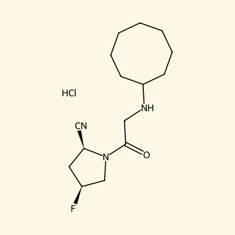 Cl.N#C[C@@H]1C[C@H](F)CN1C(=O)CNC1CCCCCCC1